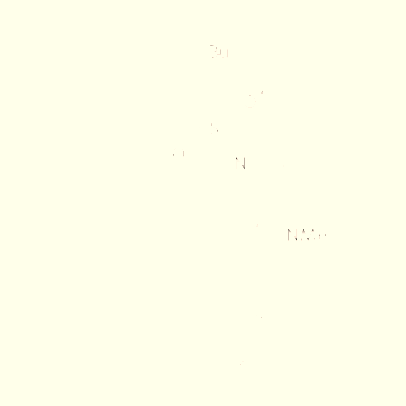 CCC(C)CS(=O)(=O)N(C)C(c1ccccc1)C(NC)c1ccccc1